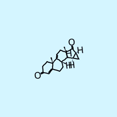 C[C@]12CCC(=O)C=C1CC[C@@H]1C2=CC[C@]2(C)C(=O)[C@H]3C[C@H]3[C@@H]12